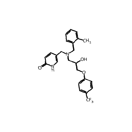 Cc1ccccc1CN(Cc1ccc(=O)[nH]c1)CC(O)COc1ccc(C(F)(F)F)cc1